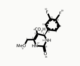 COCC1=C(C(=O)O)[C@@H](c2ccc(F)c(F)c2)NC(=O)N1